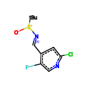 CC(C)(C)[S+]([O-])/N=C/c1cc(Cl)ncc1F